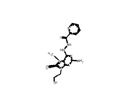 Cn1c(=O)n(CCO)c2nc(N)nc(NNC(=O)c3ccccn3)c21